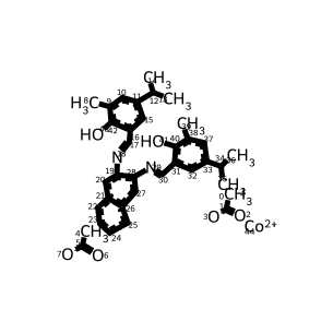 CC(=O)[O-].CC(=O)[O-].Cc1cc(C(C)C)cc(C=Nc2cc3ccccc3cc2N=Cc2cc(C(C)C)cc(C)c2O)c1O.[Co+2]